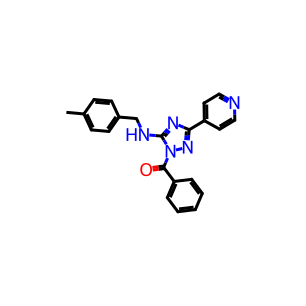 Cc1ccc(CNc2nc(-c3ccncc3)nn2C(=O)c2ccccc2)cc1